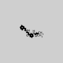 CC(C)=CC(=O)Nc1cccc(C(=O)CCNCCc2ccccc2)c1